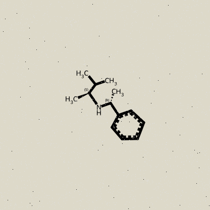 CC(C)[C@H](C)N[C@H](C)c1ccccc1